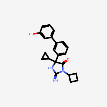 N=C1NC(c2cccc(-c3cccc(O)c3)c2)(C2CC2)C(=O)N1C1CCC1